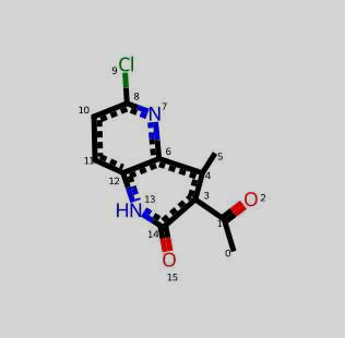 CC(=O)c1c(C)c2nc(Cl)ccc2[nH]c1=O